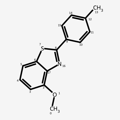 COc1cccc2sc(-c3ccc(C)cc3)nc12